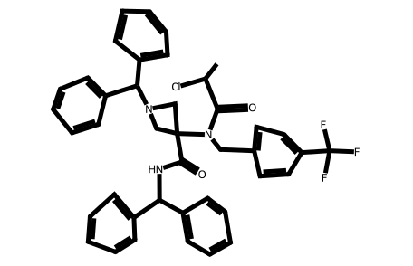 CC(Cl)C(=O)N(Cc1ccc(C(F)(F)F)cc1)C1(C(=O)NC(c2ccccc2)c2ccccc2)CN(C(c2ccccc2)c2ccccc2)C1